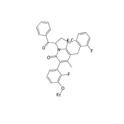 CCOc1cccc(-c2c(C)c(Cc3c(F)cccc3C(F)(F)F)c3n(c2=O)C(C(=O)c2ccccc2)CS3)c1F